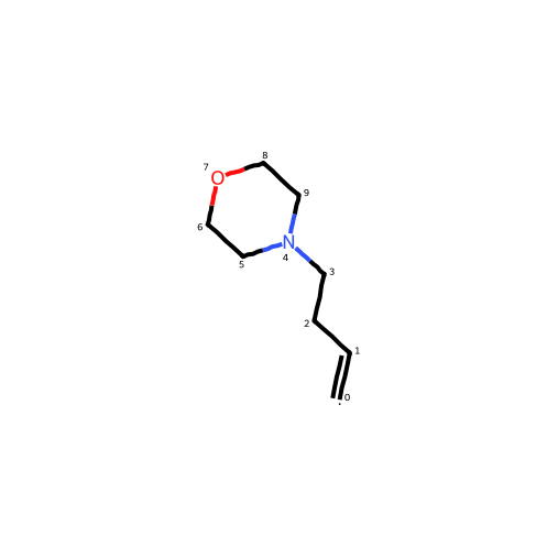 [CH]=CCCN1CCOCC1